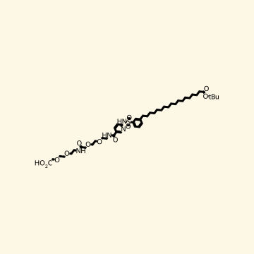 CC(C)(C)OC(=O)CCCCCCCCCCCCCCCCCc1cccc(S(=O)(=O)Nc2ccc(C(=O)NCCOCCOCC(=O)NCCOCCOCC(=O)O)cn2)c1